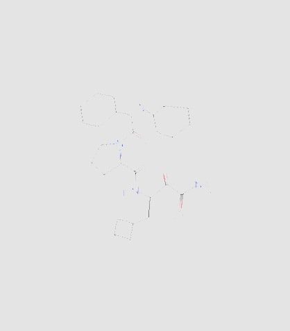 NC(=O)C(=O)C(CC1CCC1)NC(=O)C1CCCN1C(=O)[C@@H](NC1CCCCC1)C1CCCCC1